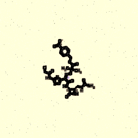 CC(C)(O/N=C(\C(=O)N[C@H]1C(=O)N[C@H]1CNC(N)=O)c1csc(NC(=O)CCl)n1)C(=O)OCc1ccc([N+](=O)[O-])cc1